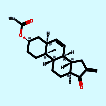 C=C1C[C@H]2[C@@H]3C=C[C@@H]4C[C@@H](OC(=O)C(C)(C)C)CC[C@]4(C)[C@H]3CC[C@]2(C)C1=O